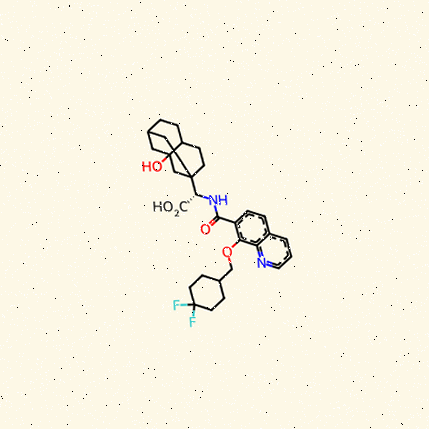 O=C(N[C@H](C(=O)O)C12CCC3CCC(CC3(O)C1)C2)c1ccc2cccnc2c1OCC1CCC(F)(F)CC1